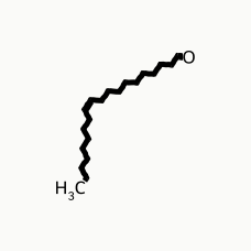 CCCCCCCC/C=C\CCCCCCCCCC=O